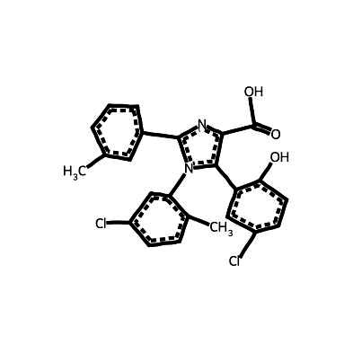 Cc1cccc(-c2nc(C(=O)O)c(-c3cc(Cl)ccc3O)n2-c2cc(Cl)ccc2C)c1